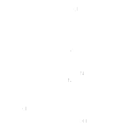 O=C(Cc1cccc(Cl)c1)N1CCC(c2cc(Cl)ccc2O)=N1